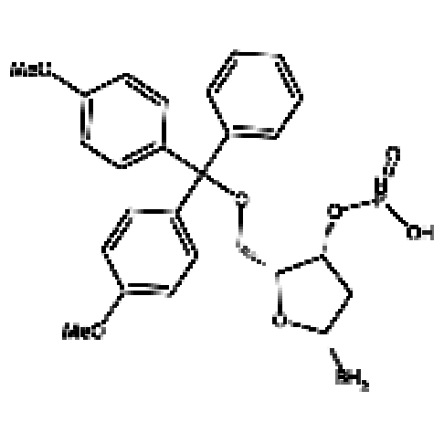 B[C@H]1C[C@@H](O[PH](=O)O)[C@@H](COC(c2ccccc2)(c2ccc(OC)cc2)c2ccc(OC)cc2)O1